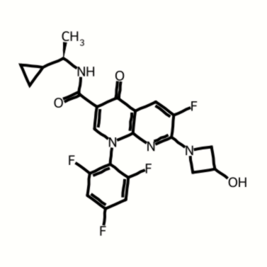 C[C@@H](NC(=O)c1cn(-c2c(F)cc(F)cc2F)c2nc(N3CC(O)C3)c(F)cc2c1=O)C1CC1